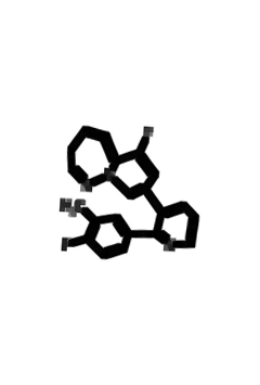 Cc1cc(-c2ncccc2C2=CN3N=CCC=C=C3C(F)=C2)ccc1F